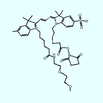 COCCOCCNC(=O)CCCCC[N+]1=C(C=CC=C2N(CCCCCC(=O)ON3C(=O)CCC3=O)c3ccc(S(=O)(=O)[O-])cc3C2(C)C)C(C)(C)c2cc(C)ccc21